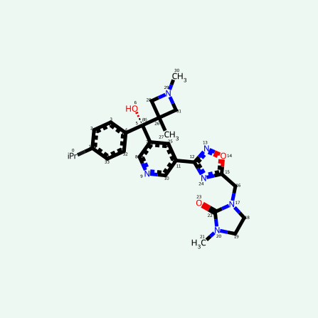 CC(C)c1ccc([C@](O)(c2cncc(-c3noc(CN4CCN(C)C4=O)n3)c2)C2(C)CN(C)C2)cc1